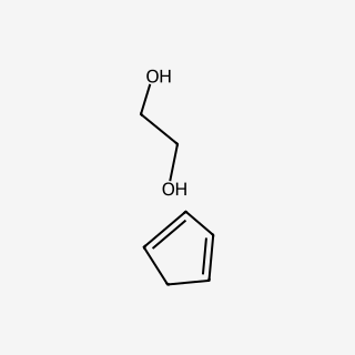 C1=CCC=C1.OCCO